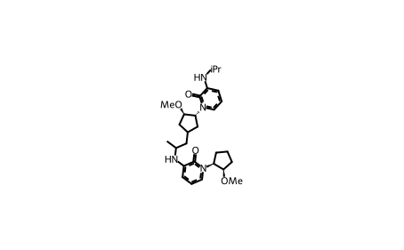 CO[C@@H]1CC(CC(C)Nc2cccn([C@H]3CCC[C@H]3OC)c2=O)C[C@H]1n1cccc(NC(C)C)c1=O